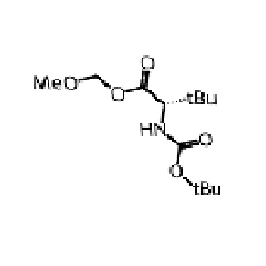 COCOC(=O)[C@@H](NC(=O)OC(C)(C)C)C(C)(C)C